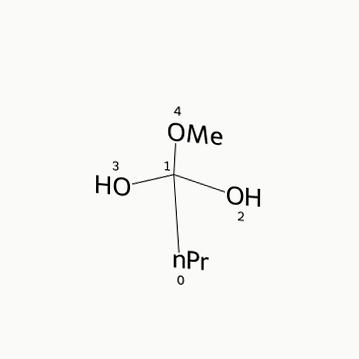 CCCC(O)(O)OC